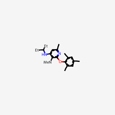 CCC(CC)Nc1cc(C)nc(Oc2c(C)cc(C)cc2C)c1NC